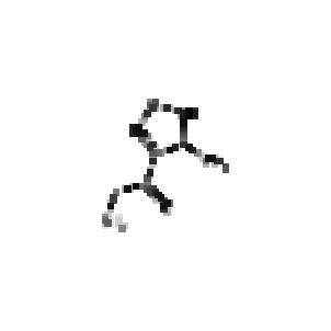 CC1NON=C1C(=O)CN